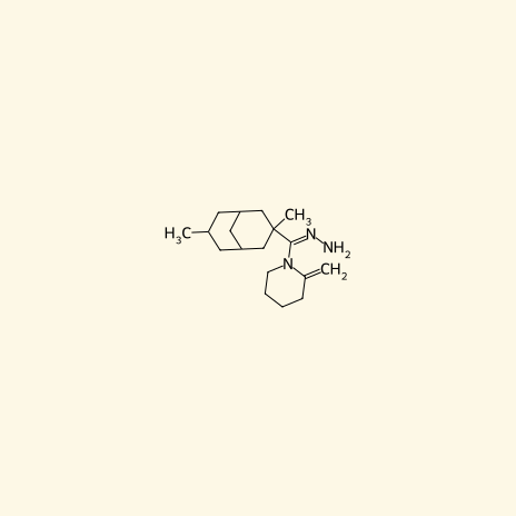 C=C1CCCCN1/C(=N\N)C1(C)CC2CC(C)CC(C2)C1